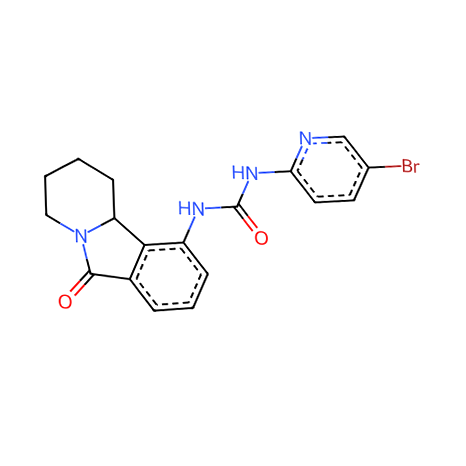 O=C(Nc1ccc(Br)cn1)Nc1cccc2c1C1CCCCN1C2=O